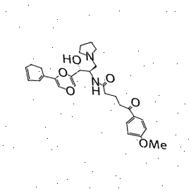 COc1ccc(C(=O)CCCC(=O)N[C@H](CN2CCCC2)[C@@H](O)C2=COC=C(C3=CC=CCC3)O2)cc1